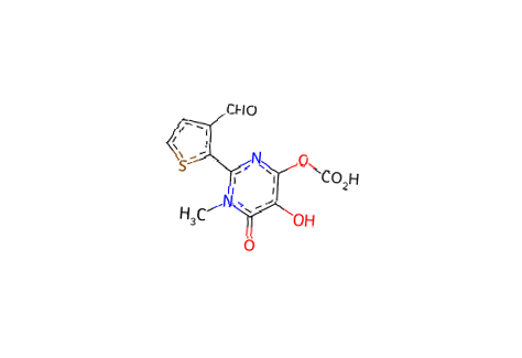 Cn1c(-c2sccc2C=O)nc(OC(=O)O)c(O)c1=O